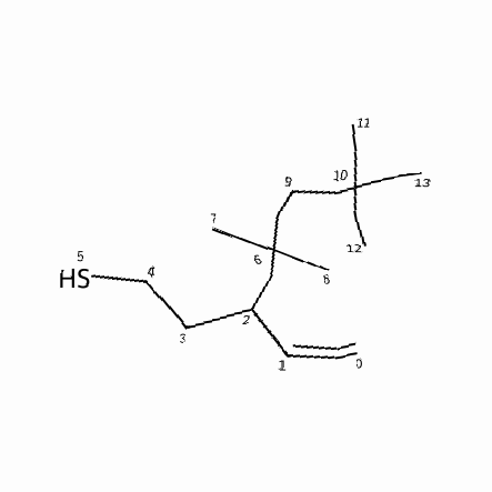 C=CC(CCS)C(C)(C)CC(C)(C)C